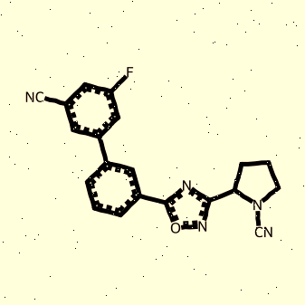 N#Cc1cc(F)cc(-c2cccc(-c3nc(C4CCCN4C#N)no3)c2)c1